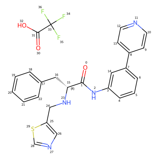 O=C(Nc1cccc(-c2ccncc2)c1)[C@@H](Cc1ccccc1)NCc1cncs1.O=C(O)C(F)(F)F